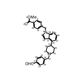 COC(=O)c1ccc(Cn2ccc3c(C4CCN(Cc5ccc(C=O)cc5)CC4)ccnc32)cc1